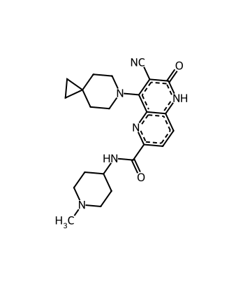 CN1CCC(NC(=O)c2ccc3[nH]c(=O)c(C#N)c(N4CCC5(CC4)CC5)c3n2)CC1